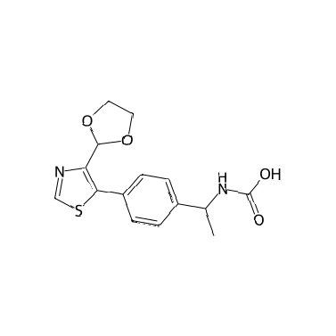 CC(NC(=O)O)c1ccc(-c2scnc2C2OCCO2)cc1